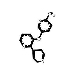 FC(F)(F)c1ccc(Oc2cccnc2C2=CCN=CC2)cn1